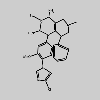 CCN1C(N)C2=C(C(c3ccccc3)CN(C)C2)N(c2ccc(-n3cnc(Cl)c3)c(OC)c2)C1N